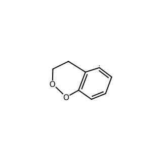 [c]1cccc2c1CCOO2